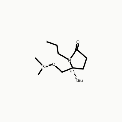 C[SiH](C)OC[C@]1(C(C)(C)C)CCC(=O)N1CCI